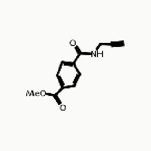 C#CCNC(=O)c1ccc(C(=O)OC)cc1